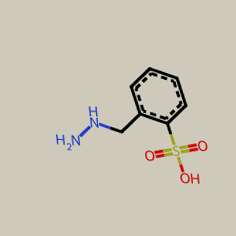 NNCc1ccccc1S(=O)(=O)O